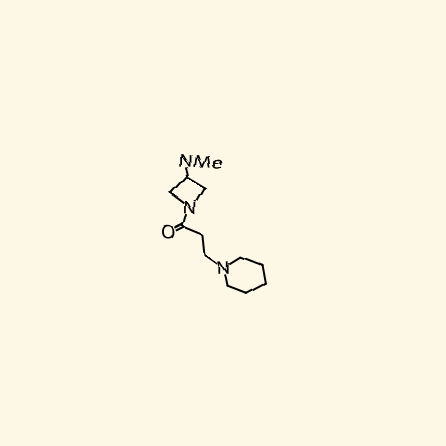 CNC1CN(C(=O)CCN2CCCCC2)C1